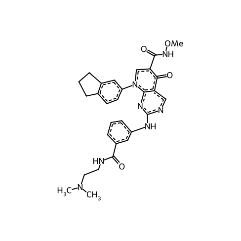 CONC(=O)c1cn(-c2ccc3c(c2)CCC3)c2nc(Nc3cccc(C(=O)NCCN(C)C)c3)ncc2c1=O